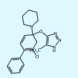 O=C(O)c1[nH]nnc1OC1(N2CCCCC2)C=CC(c2ccccc2)=C(Cl)C1